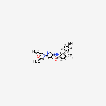 C[C@@H]1CN(c2ccc(NC(=O)c3ccc(C(F)(F)F)c(-c4ccc(C#N)cc4)c3)cn2)C[C@H](C)O1